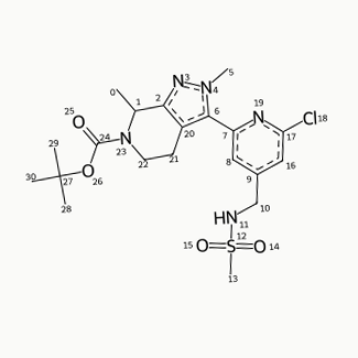 CC1c2nn(C)c(-c3cc(CNS(C)(=O)=O)cc(Cl)n3)c2CCN1C(=O)OC(C)(C)C